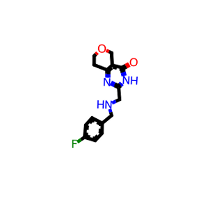 O=c1[nH]c(CNCc2ccc(F)cc2)nc2c1COCC2